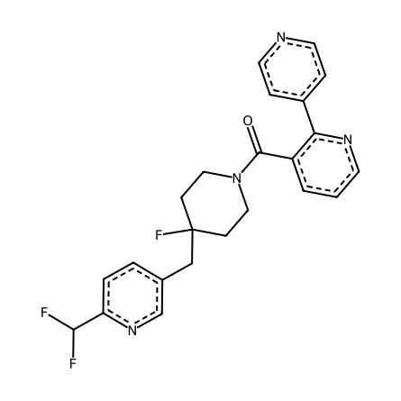 O=C(c1cccnc1-c1ccncc1)N1CCC(F)(Cc2ccc(C(F)F)nc2)CC1